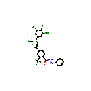 O=C(NNc1ccccc1)c1ccc(C(F)=CC(c2cc(Br)c(F)c(Br)c2)C(F)(F)F)cc1C(F)(F)F